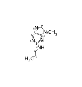 CCCNc1ncc2ncn(C)c2n1